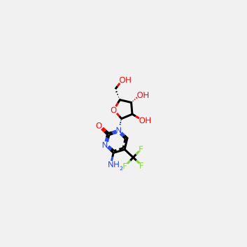 Nc1nc(=O)n([C@@H]2O[C@H](CO)[C@H](O)C2O)cc1C(F)(F)F